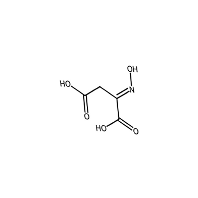 O=C(O)C/C(=N\O)C(=O)O